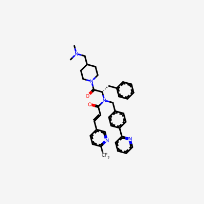 CN(C)CC1CCN(C(=O)[C@H](Cc2ccccc2)N(Cc2ccc(-c3ccccn3)cc2)C(=O)/C=C/c2ccc(C(F)(F)F)nc2)CC1